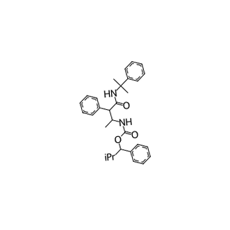 CC(C)C(OC(=O)NC(C)C(C(=O)NC(C)(C)c1ccccc1)c1ccccc1)c1ccccc1